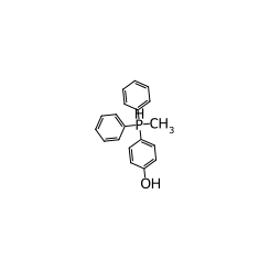 C[PH](c1ccccc1)(c1ccccc1)c1ccc(O)cc1